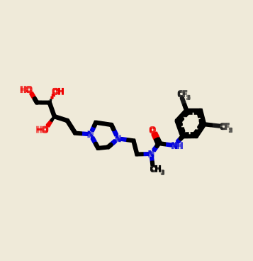 CN(CCN1CCN(CC[C@@H](O)[C@@H](O)CO)CC1)C(=O)Nc1cc(C(F)(F)F)cc(C(F)(F)F)c1